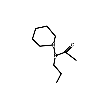 CCCN(C(C)=O)N1CCCCC1